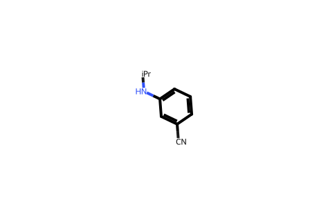 CC(C)Nc1cccc(C#N)c1